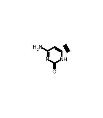 C#C.Nc1cc[nH]c(=O)n1